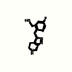 OCc1cc(F)ccc1Cn1nnc2c1CCNC2